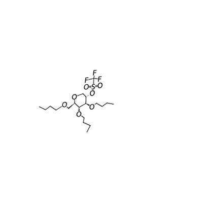 CCCCOC[C@H]1OC[C@H](OS(=O)(=O)C(F)(F)F)[C@@H](OCCCC)[C@H]1OCCCC